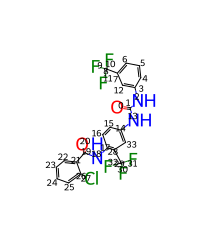 O=C(Nc1cccc(C(F)(F)F)c1)Nc1ccc(NC(=O)c2ccccc2Cl)c(C(F)(F)F)c1